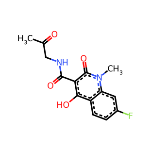 CC(=O)CNC(=O)c1c(O)c2ccc(F)cc2n(C)c1=O